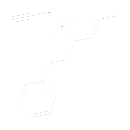 C#CCC(C)(C)C(/C=C/C)OCc1ccccc1